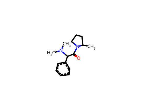 CC1CCCN1C(=O)C(c1ccccc1)N(C)C